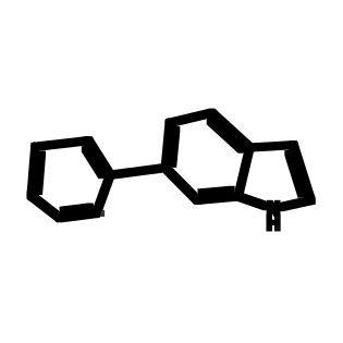 [c]1ccccc1-c1ccc2cc[nH]c2c1